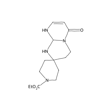 CCOC(=O)N1CCC2(CC1)CCN1C(=O)C=CNC1N2